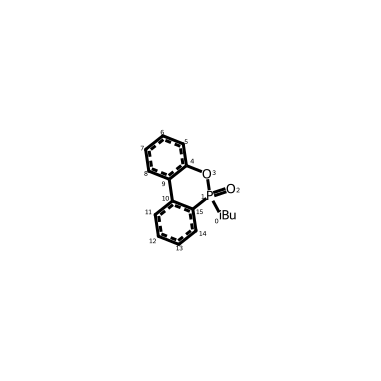 CCC(C)P1(=O)Oc2ccccc2-c2ccccc21